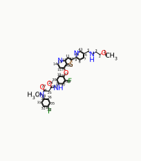 COCCNCc1ccc(-c2cc3nccc(Oc4ccc(NC(=O)CC(=O)N(C)c5ccc(F)cc5)cc4F)c3s2)nc1